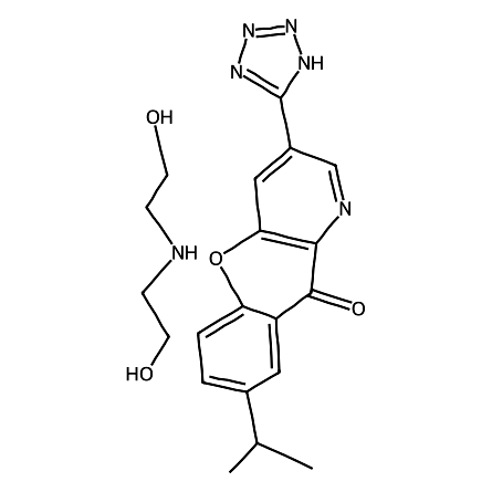 CC(C)c1ccc2oc3cc(-c4nnn[nH]4)cnc3c(=O)c2c1.OCCNCCO